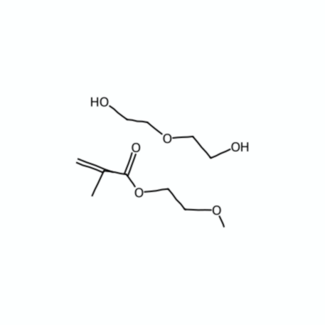 C=C(C)C(=O)OCCOC.OCCOCCO